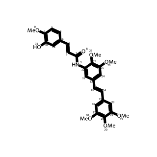 COc1ccc(/C=C/C(=O)Nc2cc(/C=C/c3cc(OC)c(OC)c(OC)c3)cc(OC)c2OC)cc1O